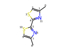 Cc1csc(-c2nc(C)cs2)n1